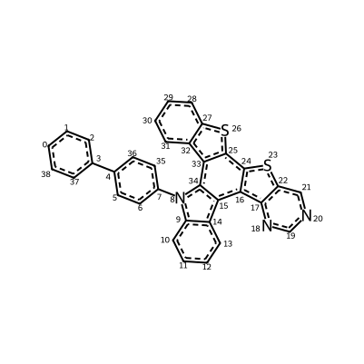 c1ccc(-c2ccc(-n3c4ccccc4c4c5c6ncncc6sc5c5sc6ccccc6c5c43)cc2)cc1